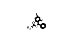 NC(=O)OC(c1ccccc1)c1ccc(F)cc1F